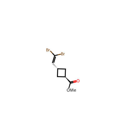 COC(=O)[C@H]1C[C@H](C=C(Br)Br)C1